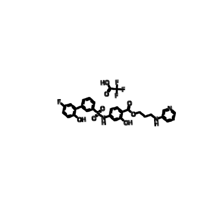 O=C(O)C(F)(F)F.O=C(OCCCNc1cccnc1)c1ccc(NS(=O)(=O)c2cccc(-c3cc(F)ccc3O)c2)cc1O